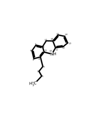 CCCCc1cccc2c1Nc1ccccc1C2